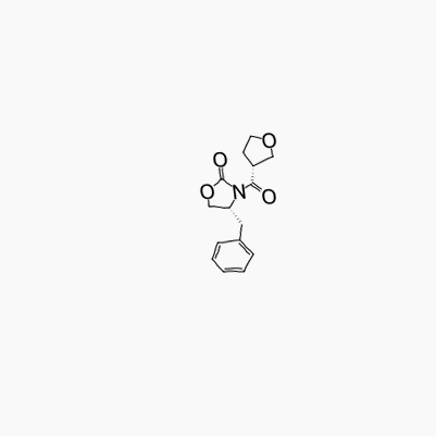 O=C1OC[C@@H](Cc2ccccc2)N1C(=O)[C@@H]1CCOC1